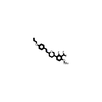 C=CCOc1ccc(/C=C/C2CCC(c3ccc(OCCCC)c(C(F)F)c3F)CO2)cc1